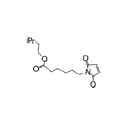 CC(C)CCOC(=O)CCCCCN1C(=O)C=CC1=O